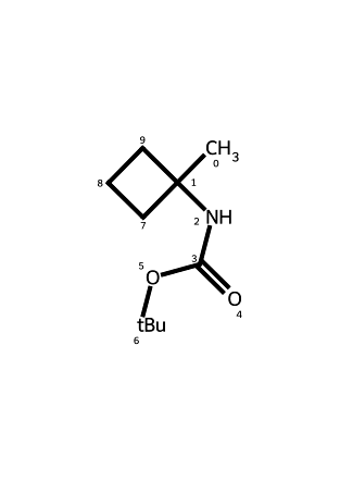 CC1(NC(=O)OC(C)(C)C)CCC1